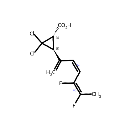 C=C(/C=C\C(F)=C(/C)F)[C@@H]1[C@@H](C(=O)O)C1(Cl)Cl